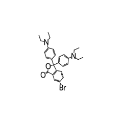 CCN(CC)c1ccc(C2(c3ccc(N(CC)CC)cc3)OC(=O)c3cc(Br)ccc32)cc1